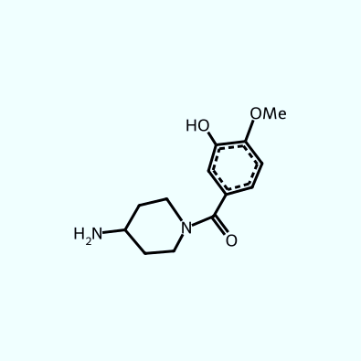 COc1ccc(C(=O)N2CCC(N)CC2)cc1O